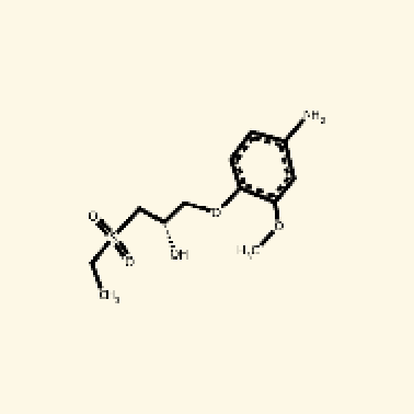 CCS(=O)(=O)C[C@@H](O)COc1ccc(N)cc1OC